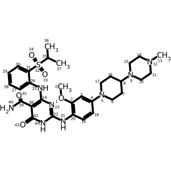 COc1cc(N2CCC(N3CCN(C)CC3)CC2)ccc1Nc1nc(Nc2ccccc2S(=O)(=O)C(C)C)c(C(N)=O)c(=O)[nH]1